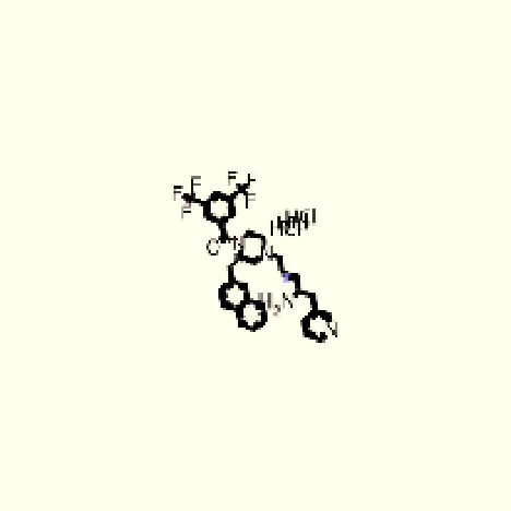 Cl.Cl.Cl.NC(/C=C/CN1CCN(C(=O)c2cc(C(F)(F)F)cc(C(F)(F)F)c2)[C@H](Cc2ccc3ccccc3c2)C1)Cc1cccnc1